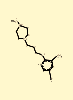 Nc1cc(Br)cnc1OCCCN1CCN(C(=O)O)CC1